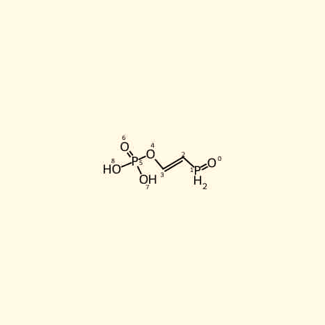 O=[PH2]C=COP(=O)(O)O